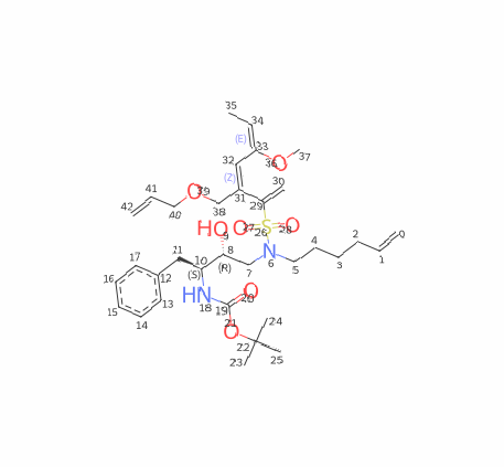 C=CCCCCN(C[C@@H](O)[C@H](Cc1ccccc1)NC(=O)OC(C)(C)C)S(=O)(=O)C(=C)/C(=C\C(=C/C)OC)COCC=C